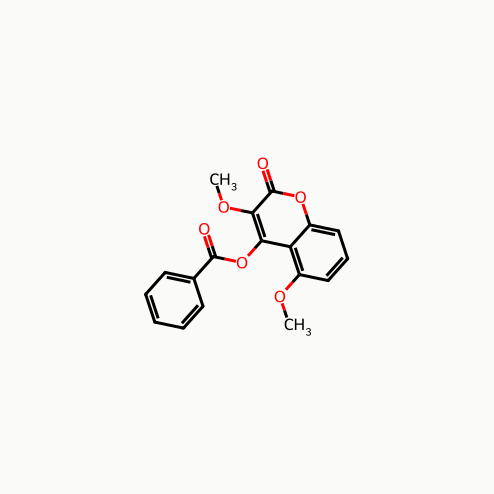 COc1c(OC(=O)c2ccccc2)c2c(OC)cccc2oc1=O